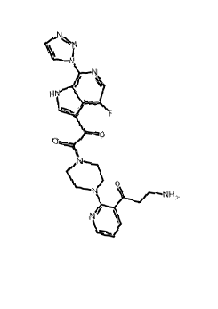 NCCC(=O)c1cccnc1N1CCN(C(=O)C(=O)c2c[nH]c3c(-n4ccnn4)ncc(F)c23)CC1